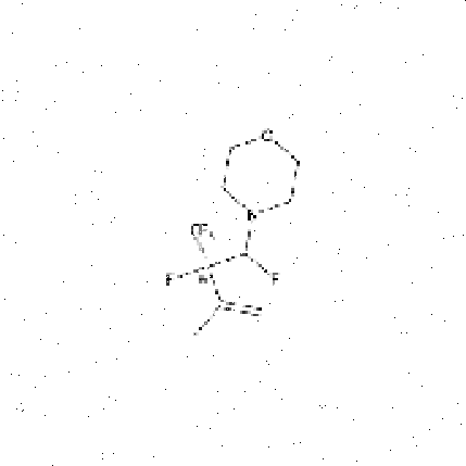 C=C(C)[C@@](F)(C(F)N1CCOCC1)C(F)(F)F